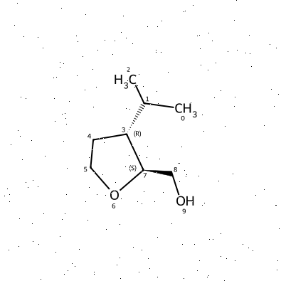 CC(C)[C@H]1CCO[C@@H]1CO